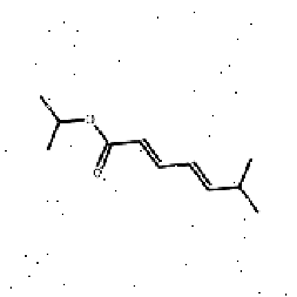 CC(C)/C=C/C=C/C(=O)OC(C)C